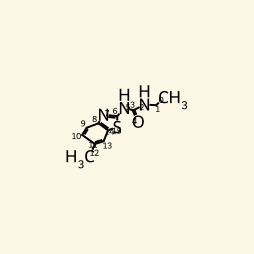 CCNC(=O)Nc1nc2ccc(C)cc2s1